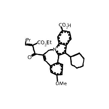 CCOC(=O)/C(=C\C(C)C)C(=O)C1=Cc2cc(OC)ccc2-c2c(C3CCCCC3)c3ccc(C(=O)O)cc3n2C1